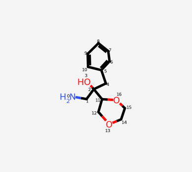 NCC(O)(Cc1ccccc1)C1COCCO1